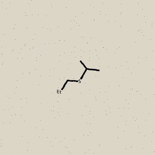 [CH2]CCSC(C)C